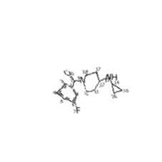 O=C(c1cccc(F)c1)N1CCC(NC2CC2)CC1